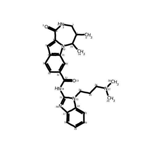 CC1CNC(=O)c2cc3ccc(C(=O)Nc4nc5ccccc5n4CCCN(C)C)cc3n2C1C